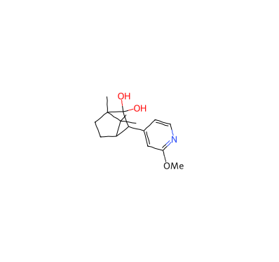 COc1cc(C2C3CCC(C)(C3(C)C)C2(O)O)ccn1